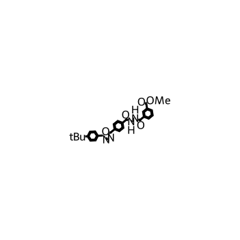 COC(=O)c1cccc(C(=O)NNC(=O)c2ccc(-c3nnc(-c4ccc(C(C)(C)C)cc4)o3)cc2)c1